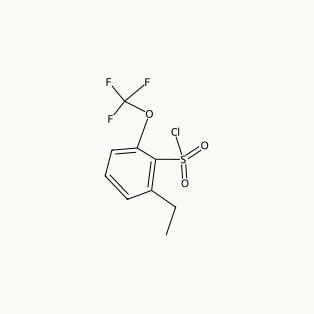 CCc1cccc(OC(F)(F)F)c1S(=O)(=O)Cl